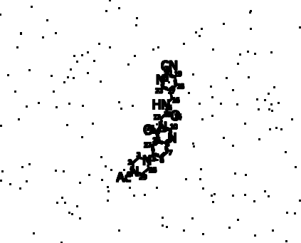 CC(=O)N1CCN(c2ccc3ncn(CC(=O)NCc4ccc(C#N)nc4)c(=O)c3c2)CC1